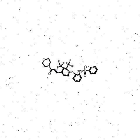 O=C(/C=C/c1ccc(Sc2ccccc2NS(=O)(=O)c2ccccc2)c(C(F)(F)F)c1C(F)(F)F)N1CCOCC1